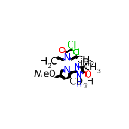 C=CCN(CC=C)C(=O)C(Cl)Cl.COCc1cnc(C2=NC(C)(C(C)C)C(=O)N2)c(C(=O)O)c1